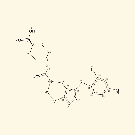 O=C(C[C@H]1CC[C@H](C(=O)O)CC1)N1CCc2cnn(Cc3ccc(Cl)cc3F)c2C1